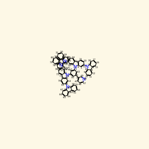 N#Cc1c(-n2c3cc(-n4c5ccccc5c5ccccc54)ccc3c3ccc(-n4c5ccccc5c5ccccc54)cc32)cc(-c2cccnc2)cc1-n1c2cc(-n3c4ccccc4c4ccccc43)ccc2c2ccc(-n3c4ccccc4c4ccccc43)cc21